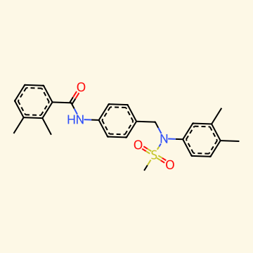 Cc1ccc(N(Cc2ccc(NC(=O)c3cccc(C)c3C)cc2)S(C)(=O)=O)cc1C